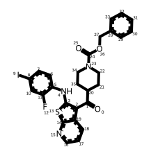 O=C(c1c(Nc2ccc(I)cc2F)sc2ncccc12)C1CCN(C(=O)OCc2ccccc2)CC1